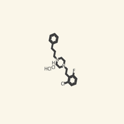 Cl.Cl.Fc1cccc(Cl)c1CCN1CCN(CCCc2ccccc2)CC1